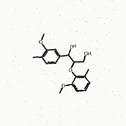 COc1cc(C(O)C(CO)Oc2c(C)cccc2OC)ccc1C